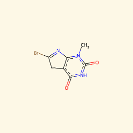 Cn1c2c(c(=O)[nH]c1=O)CC(Br)=N2